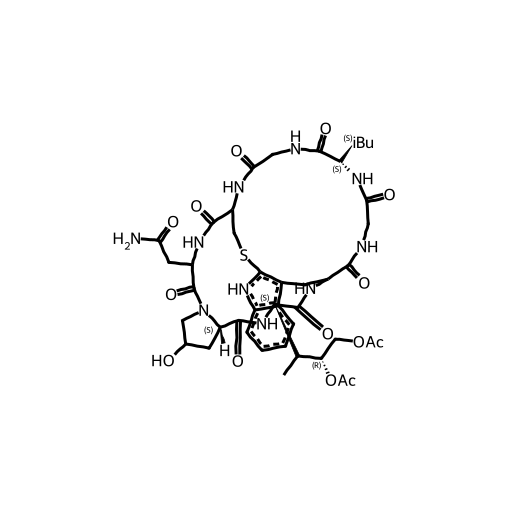 CC[C@H](C)[C@@H]1NC(=O)CNC(=O)C2Cc3c([nH]c4ccccc34)SCC(NC(=O)CNC1=O)C(=O)NC(CC(N)=O)C(=O)N1CC(O)C[C@H]1C(=O)N[C@@H](C(C)[C@H](COC(C)=O)OC(C)=O)C(=O)N2